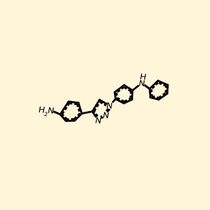 Nc1ccc(-c2cn(-c3ccc(Nc4ccccc4)cc3)nn2)cc1